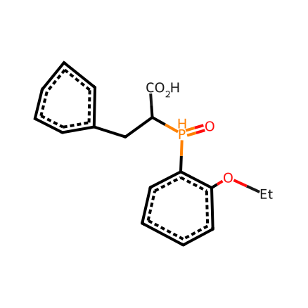 CCOc1ccccc1[PH](=O)C(Cc1ccccc1)C(=O)O